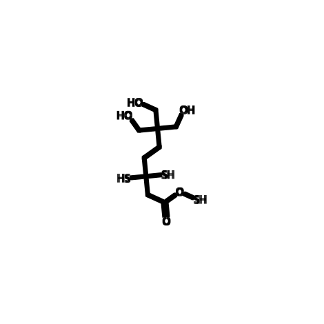 O=C(CC(S)(S)CCC(CO)(CO)CO)OS